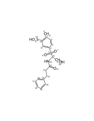 Cc1ccc(S(=O)(=O)C(C)NC(=O)CCc2ccccc2)cc1S(=O)(=O)O.Cl